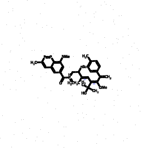 C=C(/C(OC)=C(\C=C(/C)C(CCCC)C[PH](=C)C(=O)c1cc(NC)c2ppc(C)cc2c1)C(C)(C)O)c1ccc(C)cc1